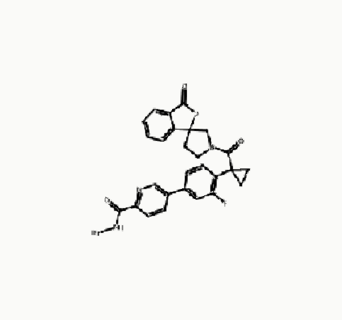 CC(C)NC(=O)c1ccc(-c2ccc(C3(C(=O)N4CCC5(C4)OC(=O)c4ccccc45)CC3)c(F)c2)cn1